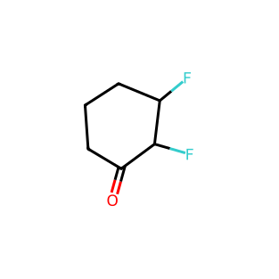 O=C1CCCC(F)C1F